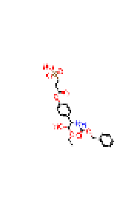 CCOC(O)C(NC(=O)OCc1ccccc1)c1ccc(OC(=O)CCS(=O)(=O)O)cc1